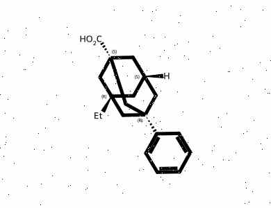 CC[C@]12C[C@@H]3C[C@](C(=O)O)(C1)C[C@@](c1ccccc1)(C3)C2